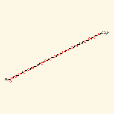 CCC(C)C(=O)OCCOCCOCCOCCOCCOCCOCCOCCOCCOCCOCCOCCOCCOCCOCCOCCOCCOCCOCCOCCOCCC(=O)O